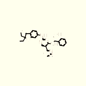 CCC1(CC)Oc2cc(Nc3ncc(-c4nnco4)c(N[C@H](CO)c4ccccc4)n3)ccc2C1=O